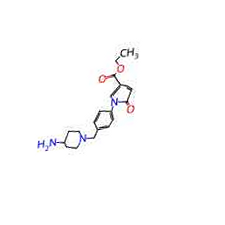 CCOC(=O)c1ccc(=O)n(-c2ccc(CN3CCC(N)CC3)cc2)c1